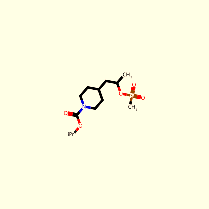 CC(C)OC(=O)N1CCC(CC(C)OS(C)(=O)=O)CC1